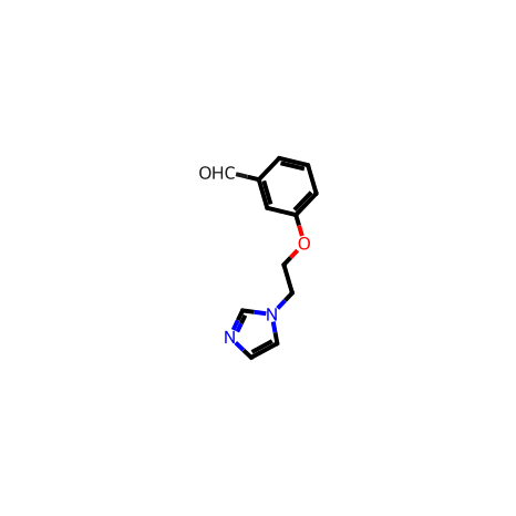 O=Cc1cccc(OCCn2ccnc2)c1